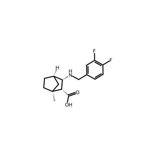 C[C@]12CC[C@H](C1)[C@H](NCc1ccc(F)c(F)c1)[C@@H]2C(=O)O